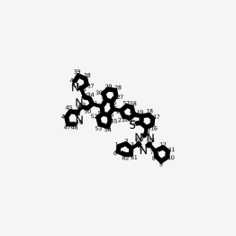 c1ccc(-c2nc(-c3ccccc3)nc(-c3cccc4c3sc3cc(-c5c6ccccc6c(-c6cc(-c7ccccn7)nc(-c7ccccn7)c6)c6ccccc56)ccc34)n2)cc1